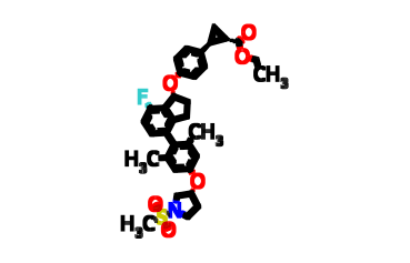 CCOC(=O)[C@H]1C[C@@H]1c1ccc(O[C@@H]2CCc3c(-c4c(C)cc(O[C@@H]5CCN(S(C)(=O)=O)C5)cc4C)ccc(F)c32)cc1